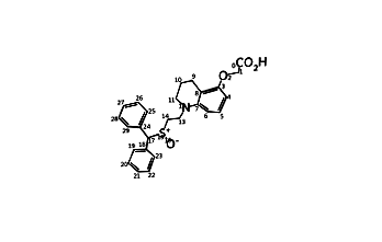 O=C(O)COc1cccc2c1CCCN2CC[S+]([O-])C(c1ccccc1)c1ccccc1